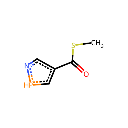 CSC(=O)c1cn[pH]c1